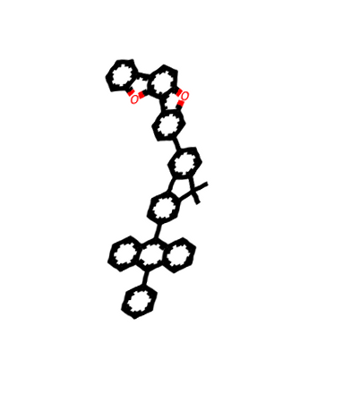 CC1(C)c2ccc(-c3ccc4c(c3)oc3ccc5c6ccccc6oc5c34)cc2-c2ccc(-c3c4ccccc4c(-c4ccccc4)c4ccccc34)cc21